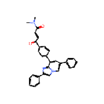 CN(C)C(=O)C=CC(=O)c1ccc(-c2cc(-c3ccccc3)cn3cc(-c4ccccc4)nc23)cc1